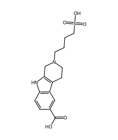 O=C(O)c1ccc2[nH]c3c(c2c1)CCN(CCCCS(=O)(=O)O)C3